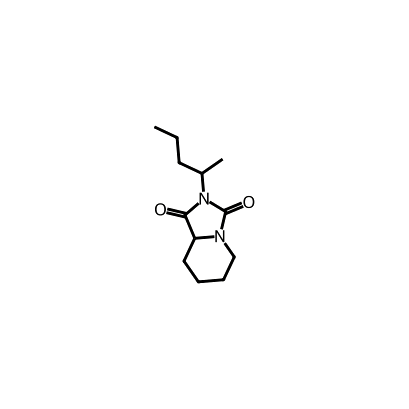 CCCC(C)N1C(=O)C2CCCCN2C1=O